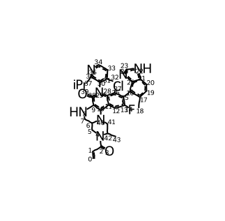 C=CC(=O)N1CC2CNc3c(c4cc(F)c(-c5c(C)ccc6[nH]cnc56)c(Cl)c4n(-c4c(C)ccnc4C(C)C)c3=O)N2CC1C